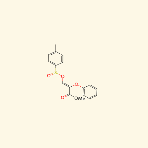 COC(=O)C(=COS(=O)c1ccc(C)cc1)Oc1ccccc1